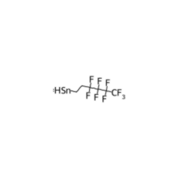 FC(F)(F)C(F)(F)C(F)(F)C(F)(F)C[CH2][SnH]